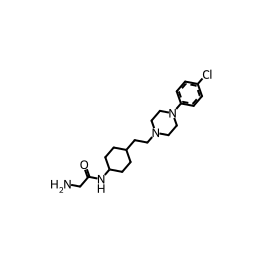 NCC(=O)NC1CCC(CCN2CCN(c3ccc(Cl)cc3)CC2)CC1